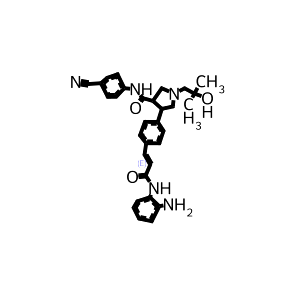 CC(C)(O)CN1CC(C(=O)Nc2ccc(C#N)cc2)C(c2ccc(/C=C/C(=O)Nc3ccccc3N)cc2)C1